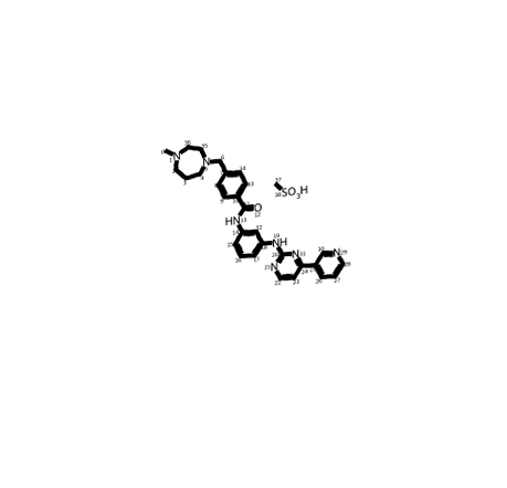 CN1CCCN(Cc2ccc(C(=O)Nc3cccc(Nc4nccc(-c5cccnc5)n4)c3)cc2)CC1.CS(=O)(=O)O